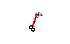 CCCCOCCOCCOc1cccc2ccccc12